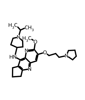 COc1nc2c(NC3CCN(C(C)C)CC3)c3c(nc2cc1OCCCN1CCCC1)CCC3